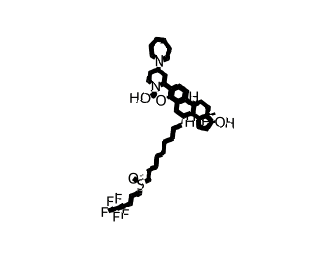 C[C@]12CC[C@@H]3c4ccc(C5CC(N6CCCCCC6)CCN5C(=O)O)cc4C[C@@H](CCCCCCCCC[S+]([O-])CCCC(F)(F)C(F)(F)F)[C@H]3[C@@H]1CC[C@@H]2O